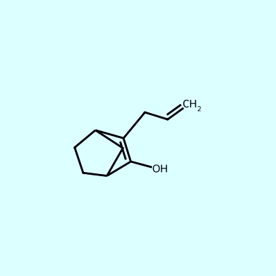 C=CCC1=C(O)C2CCC1C2